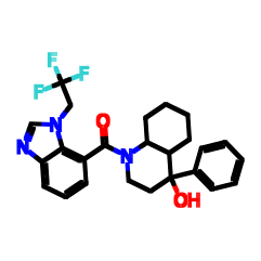 O=C(c1cccc2ncn(CC(F)(F)F)c12)N1CCC(O)(c2ccccc2)C2CCCCC21